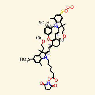 CCCC[N+]1=C(/C=C/C2=C(Oc3ccc(S(=O)(=O)O)cc3)C(=C/C=C3/N(CCCCCC(=O)ON4C(=O)CCC4=O)c4c(C)cc(S(=O)(=O)O)cc4C3(C)CCOC(C)(C)C)/CCC2)C(C)(CCOC(C)(C)C)c2cc(SOO[O-])cc(C)c21